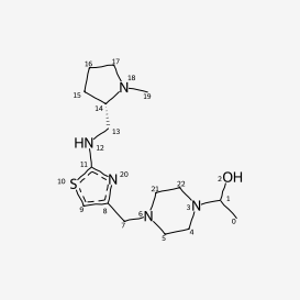 CC(O)N1CCN(Cc2csc(NC[C@@H]3CCCN3C)n2)CC1